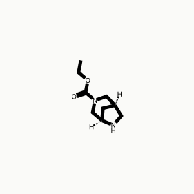 CCOC(=O)N1C[C@H]2CN[C@H](C2)C1